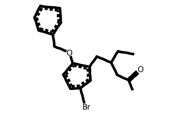 CCC(CC(C)=O)Cc1cc(Br)ccc1OCc1ccccc1